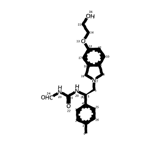 Cc1ccc([C@H](CN2Cc3ccc(OCCO)cc3C2)NC(=O)NC=O)cc1